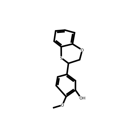 COc1ccc(C2COc3ccccc3S2)cc1O